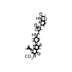 O=C1COc2ccc(N3C[C@@H](CNC4CCN(c5nc6c(cc5F)c(=O)c(C(=O)O)cn6C5CC5)CC4)OC3=O)nc2N1